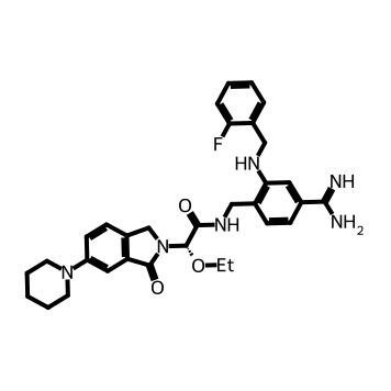 CCO[C@@H](C(=O)NCc1ccc(C(=N)N)cc1NCc1ccccc1F)N1Cc2ccc(N3CCCCC3)cc2C1=O